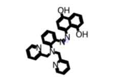 Oc1ccc(/N=N\c2ccccc2N(Cc2ccccn2)Cc2ccccn2)c2c(O)cccc12